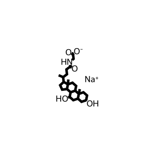 CC(CCC(=O)NCC(=O)[O-])C1CCC2C3C(O)CC4CC(O)CCC4(C)C3CCC12C.[Na+]